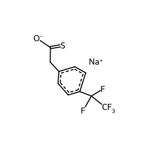 [Na+].[O-]C(=S)Cc1ccc(C(F)(F)C(F)(F)F)cc1